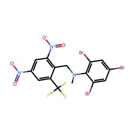 CN(Cc1c([N+](=O)[O-])cc([N+](=O)[O-])cc1C(F)(F)F)c1c(Br)cc(Br)cc1Br